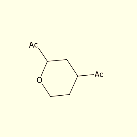 CC(=O)C1CCOC(C(C)=O)C1